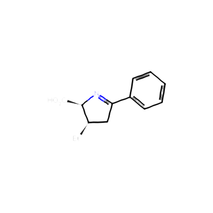 CC[C@@H]1CC(c2ccccc2)=N[C@@H]1C(=O)O